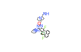 C#Cc1c(F)ccc2cccc(-c3c(Cl)cc4c(N5CC6CCC(C5)N6)nc(OCC56CCCN5C(CNC)CC6)nc4c3F)c12